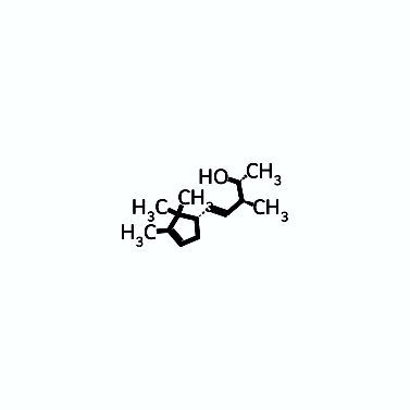 CC1=CC[C@@H](/C=C/[C@H](C)[C@@H](C)O)C1(C)C